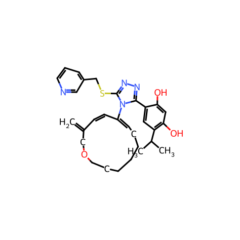 C=C1/C=C\C(n2c(SCc3cccnc3)nnc2-c2cc(C(C)C)c(O)cc2O)=C/CCCCCCOC1